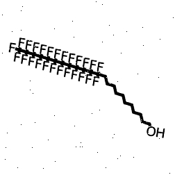 OCCCCCCCCCCCC(F)(F)C(F)(F)C(F)(F)C(F)(F)C(F)(F)C(F)(F)C(F)(F)C(F)(F)C(F)(F)C(F)(F)C(F)(F)C(F)(F)F